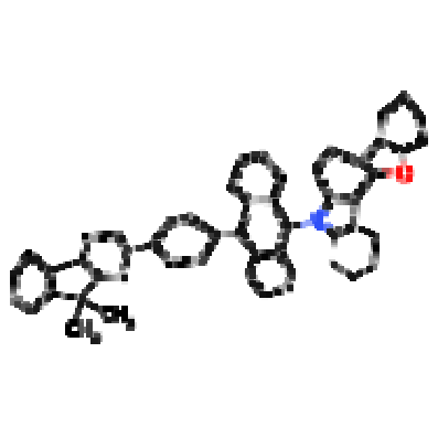 CC1(C)c2ccccc2-c2ccc(-c3ccc(-c4c5ccccc5c(-n5c6c(c7c8oc9ccccc9c8ccc75)C=CCC6)c5ccccc45)cc3)cc21